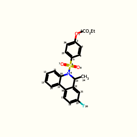 CCOC(=O)Oc1ccc(S(=O)(=O)N2c3ccccc3-c3ccc(F)cc3C2C)cc1